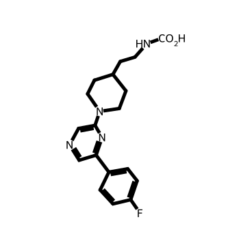 O=C(O)NCCC1CCN(c2cncc(-c3ccc(F)cc3)n2)CC1